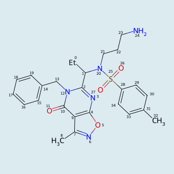 CCC(c1nc2onc(C)c2c(=O)n1Cc1ccccc1)N(CCCN)S(=O)(=O)c1ccc(C)cc1